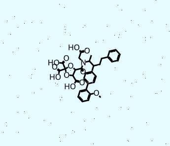 COc1ccccc1-c1ccc(C(CCc2ccccc2)C(C)N(CC(=O)O)C(=O)C2OC(C(=O)O)(C(=O)O)OC2C(=O)O)cc1